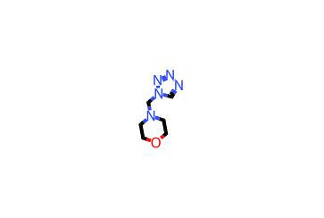 c1nnnn1CN1CCOCC1